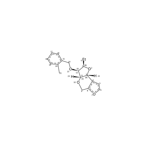 CC[C@H]1O[C@@H]2c3ccoc3CO[C@@H]2[C@H]1OCc1ccccc1C